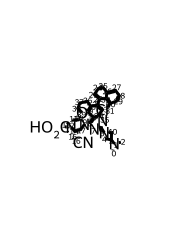 CN(C)C1CN(c2nc(N3CCN(C(=O)O)[C@@H](CC#N)C3)c3c4c(c(-c5cccc6cccc(Cl)c56)cc3n2)CCCO4)C1